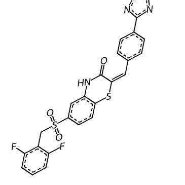 O=C1Nc2cc(S(=O)(=O)Cc3c(F)cccc3F)ccc2S/C1=C/c1ccc(-c2nn[nH]n2)cc1